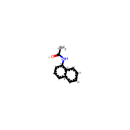 BC(=O)Nc1cccc2ccccc12